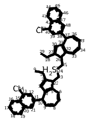 CCC1=CC2=C(C=CC=CC2c2cc(Cl)c3ccccc3c2)C1C[SiH2]CC1C(CC)=CC2=C1C=CC=CC2c1cc(Cl)c2ccccc2c1